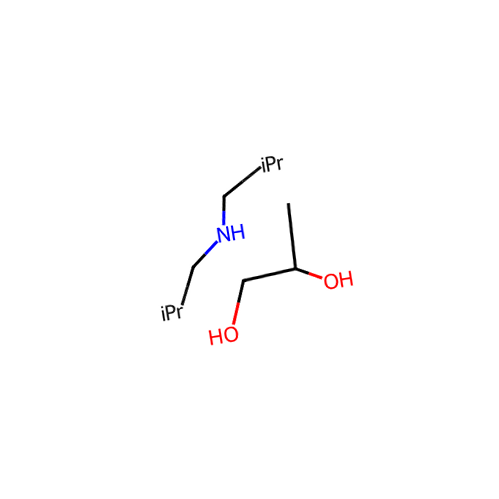 CC(C)CNCC(C)C.CC(O)CO